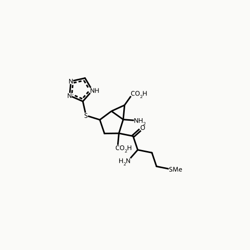 CSCCC(N)C(=O)C1(C(=O)O)CC(Sc2nnc[nH]2)C2C(C(=O)O)C21N